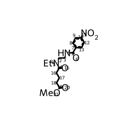 CCN(CCNC(=O)c1ccc([N+](=O)[O-])cc1)C(=O)CCCC(=O)OC